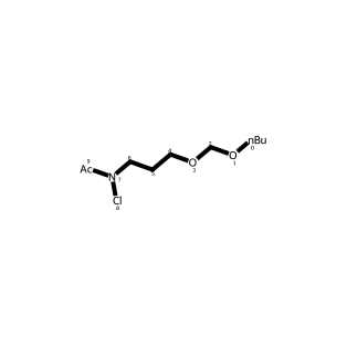 CCCCOCOCCCN(Cl)C(C)=O